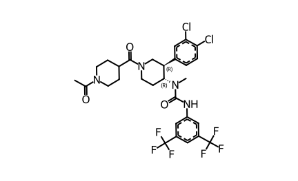 CC(=O)N1CCC(C(=O)N2CC[C@@H](N(C)C(=O)Nc3cc(C(F)(F)F)cc(C(F)(F)F)c3)[C@H](c3ccc(Cl)c(Cl)c3)C2)CC1